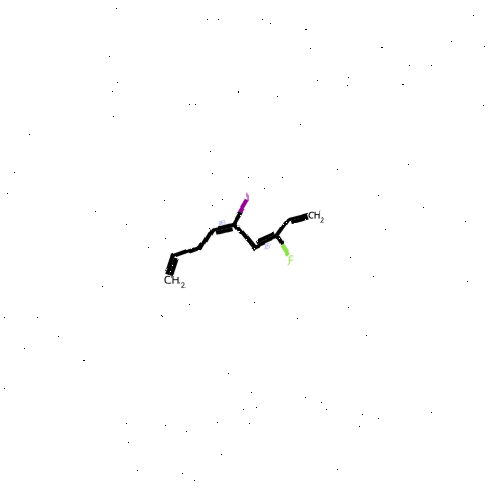 C=CC/C=C(I)\C=C(\F)C=C